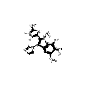 COc1cc2c(-n3ccnc3)c(-c3nnc(C(C)C)[nH]3)n(C)c2c(F)c1Cl